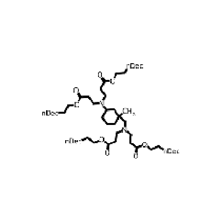 CCCCCCCCCCCCOC(=O)CCN(CCC(=O)OCCCCCCCCCCCC)CC1(C)CCCC(N(CCC(=O)OCCCCCCCCCCCC)CCC(=O)OCCCCCCCCCCCC)C1